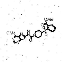 COC(=O)c1ccccc1S(=O)(=O)C1CCN(C(=O)Nc2nc3c(OC)ncnc3s2)CC1